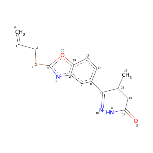 C=CCSc1nc2cc(C3=NNC(=O)CC3C)ccc2o1